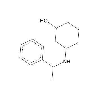 CC(NC1CCCC(O)C1)c1ccccc1